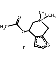 CC(=O)OC1C[N+](C)(C)Cc2sccc21.[I-]